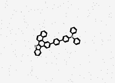 C1=CC2=Nc3c(c4ccc(-c5ccc(-c6ccc(N(c7ccccc7)c7ccccc7)cc6)cc5)cc4c4c3ccc3ccccc34)C2C=C1